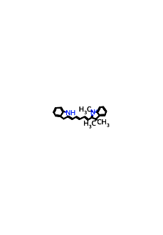 C[N+]1=C(/C=C/C=C/C=C2/Cc3ccccc3N2)C(C)(C)c2ccccc21